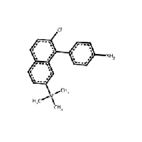 C[N+](C)(C)c1ccc2ccc(Cl)c(-c3ccc(N)cc3)c2c1